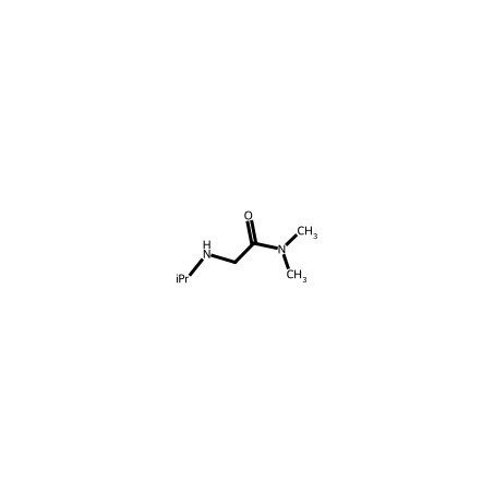 CC(C)NCC(=O)N(C)C